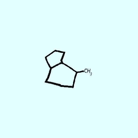 CC1CCCC2CCC[C]12